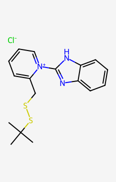 CC(C)(C)SSCc1cccc[n+]1-c1nc2ccccc2[nH]1.[Cl-]